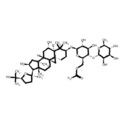 CC(=O)OC[C@H]1O[C@@H](O[C@H]2CC[C@]34C[C@]35CC[C@]3(C)[C@@H]([C@@]6(C)CC[C@@H](C(C)(C)O)O6)[C@@H](O)C[C@@]3(C)[C@@H]5C[C@H](O)[C@H]4C2(C)C)[C@H](O)[C@@H](O)[C@@H]1O[C@@H]1O[C@@H](C)[C@H](O)[C@@H](O)[C@H]1O